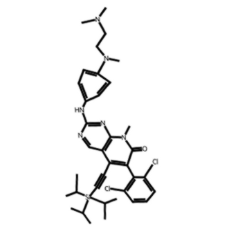 CC(C)[Si](C#Cc1c(-c2c(Cl)cccc2Cl)c(=O)n(C)c2nc(Nc3ccc(N(C)CCN(C)C)cc3)ncc12)(C(C)C)C(C)C